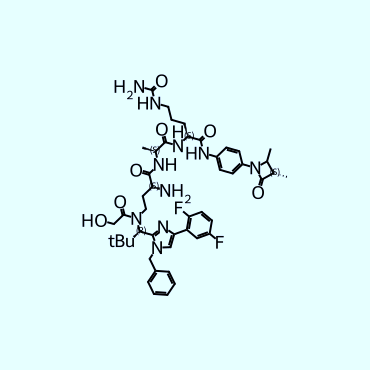 CC1[C@H](C)C(=O)N1c1ccc(NC(=O)[C@H](CCCNC(N)=O)NC(=O)[C@H](C)NC(=O)[C@@H](N)CCN(C(=O)CO)[C@@H](c2nc(-c3cc(F)ccc3F)cn2Cc2ccccc2)C(C)(C)C)cc1